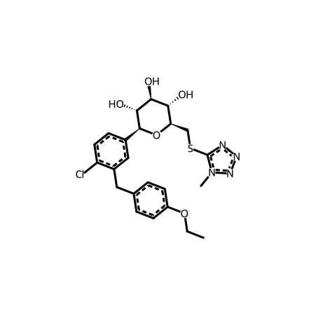 CCOc1ccc(Cc2cc([C@@H]3O[C@H](CSc4nnnn4C)[C@@H](O)[C@H](O)[C@H]3O)ccc2Cl)cc1